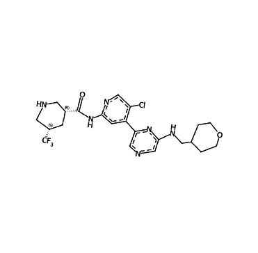 O=C(Nc1cc(-c2cncc(NCC3CCOCC3)n2)c(Cl)cn1)[C@H]1CNC[C@@H](C(F)(F)F)C1